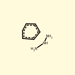 NNN.c1ccccc1